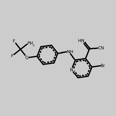 N#CC(=N)c1c(Br)ccnc1Nc1ccc(OC(F)(F)P)cc1